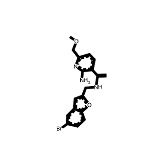 C=C(NCc1cc2cc(Br)ccc2o1)c1ccc(COC)nc1N